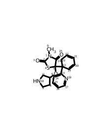 CN1C(=O)SC(OC2CCNC2)(C2(c3ccccn3)C=CC=CC2)C1=O